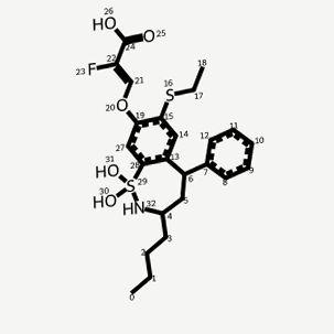 CCCCC1CC(c2ccccc2)c2cc(SCC)c(O/C=C(\F)C(=O)O)cc2S(O)(O)N1